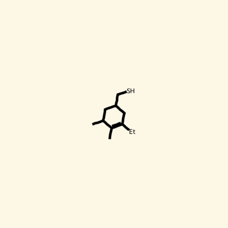 CCC1=C(C)C(C)CC(CS)C1